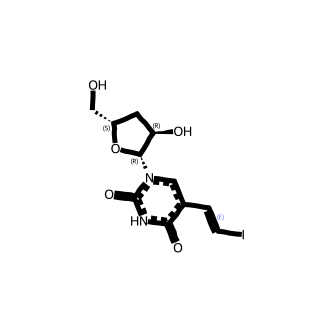 O=c1[nH]c(=O)n([C@@H]2O[C@H](CO)C[C@H]2O)cc1/C=C/I